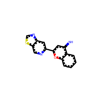 N=c1cc(-c2cc3ncsc3cn2)oc2ccccc12